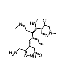 C=C/C=C(\C=C1/CC(=O)NN=C1CN)C(/C/C=N\C)=C(/NC)C1C=NN(C)CC1Cl